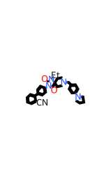 CCN1C(=O)N(c2ccc(-c3ccccc3C#N)cc2)C(=O)C12CCN(Cc1ccc(N3CCCC3)cc1)CC2